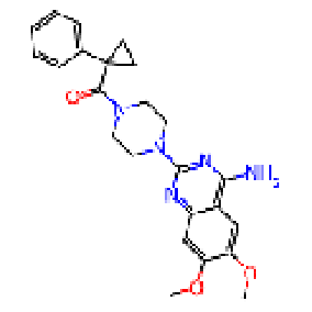 COc1cc2nc(N3CCN(C(=O)C4(c5ccccc5)CC4)CC3)nc(N)c2cc1OC